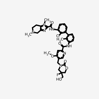 COc1cc(C(=O)Nc2cccc(-c3cccc(NC(=O)c4nc5c(n4C)CCN(C)C5)c3Cl)c2C)ncc1CN1CC(F)(CO)COC1=O